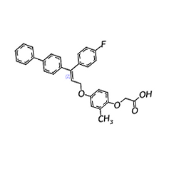 Cc1cc(OC/C=C(\c2ccc(F)cc2)c2ccc(-c3ccccc3)cc2)ccc1OCC(=O)O